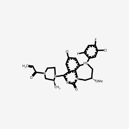 C=CC(=O)N1CCN(c2nc(=O)n3c4c(cc(Cl)cc24)[SH](c2cc(Cl)c(F)cc2F)C[C@H](OC)C3)[C@@H](C)C1